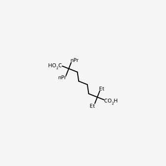 CCCC(CCC)(CCCCC(CC)(CC)C(=O)O)C(=O)O